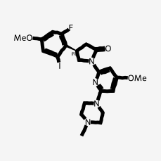 COc1cc(N2CCN(C)CC2)nc(N2C[C@@H](c3c(F)cc(OC)cc3I)CC2=O)c1